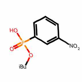 CCC(C)OP(=O)(O)c1cccc([N+](=O)[O-])c1